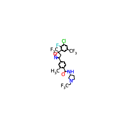 Cc1cc(C2=NO[C@@](c3cc(C(F)(F)F)cc(Cl)c3F)(C(F)(F)F)C2)ccc1C(=O)N[C@@H]1CCN(CC(F)(F)F)C1